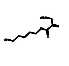 C=C(CCCCCCCCCC)C(=O)OCCCCCC(C)C